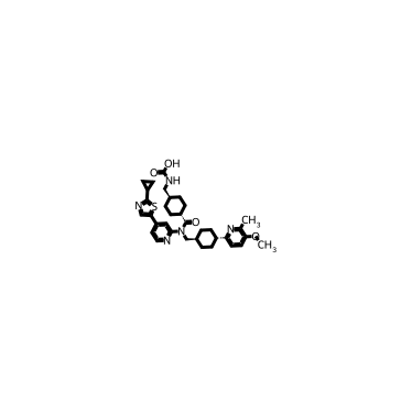 COc1ccc([C@H]2CC[C@H](CN(c3cc(-c4cnc(C5CC5)s4)ccn3)C(=O)[C@H]3CC[C@H](CNC(=O)O)CC3)CC2)nc1C